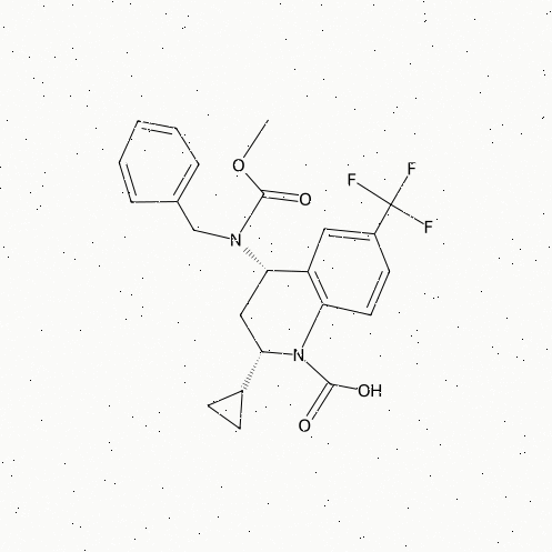 COC(=O)N(Cc1ccccc1)[C@H]1C[C@@H](C2CC2)N(C(=O)O)c2ccc(C(F)(F)F)cc21